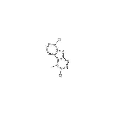 Cc1c(Cl)nnc2sc3c(Cl)nccc3c12